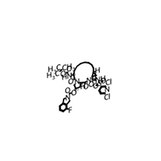 CC(C)(C)OC(=O)N[C@H]1CCCCCCC[C@@H]2C[C@@]2(C(=O)NS(=O)(=O)c2ccc(Cl)nc2Cl)NC(=O)[C@@H]2C[C@@H](OC(=O)N3Cc4cccc(F)c4C3)CN2C1=O